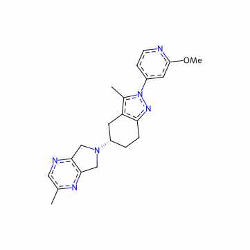 COc1cc(-n2nc3c(c2C)C[C@@H](N2Cc4ncc(C)nc4C2)CC3)ccn1